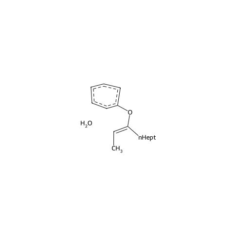 CC=C(CCCCCCC)Oc1ccccc1.O